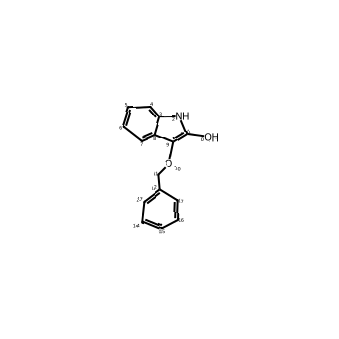 Oc1[nH]c2ccccc2c1OCc1ccccc1